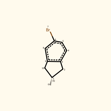 C[C@H]1Cc2ccc(Br)cc2C1